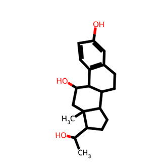 CC(O)C1CCC2C3CCc4cc(O)ccc4C3C(O)CC12C